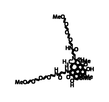 COCCOCCOCCOCCNC(=O)CC/N=C(\C)C1C(C)=Cc2c(NCCC(=O)NCCOCCOCCOCCOC)c(=O)c3c(O)cc(OC)c4c5c(OC)cc(O)c6c(=O)c(OC)c1c(c2c34)c65